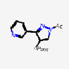 CCCCCC1CN(C(C)=O)N=C1c1cccnc1